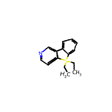 CCS1(CC)c2ccccc2-c2cnccc21